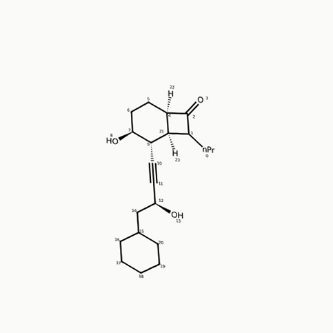 CCCC1C(=O)[C@@H]2CC[C@H](O)[C@@H](C#C[C@@H](O)CC3CCCCC3)[C@H]12